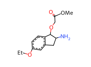 CCOc1ccc2c(c1)CC(N)C2OCC(=O)OC